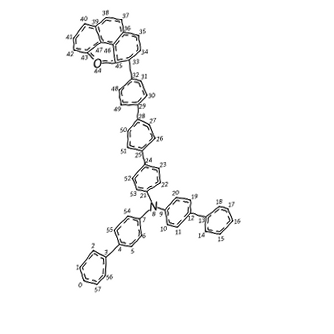 c1ccc(-c2ccc(N(c3ccc(-c4ccccc4)cc3)c3ccc(-c4ccc(-c5ccc(-c6ccc7ccc8cccc9oc6c7c89)cc5)cc4)cc3)cc2)cc1